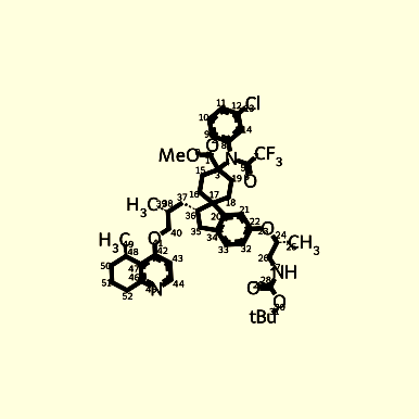 COC(=O)C1(N(C(=O)C(F)(F)F)c2cccc(Cl)c2)CCC2(CC1)c1cc(O[C@H](C)CNC(=O)OC(C)(C)C)ccc1C[C@@H]2C[C@@H](C)COc1ccnc2c1[C@H](C)CCC2